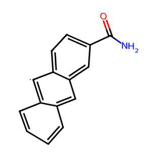 NC(=O)c1ccc2[c]c3ccccc3cc2c1